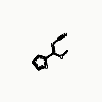 CO/C(=N\C#N)c1ccco1